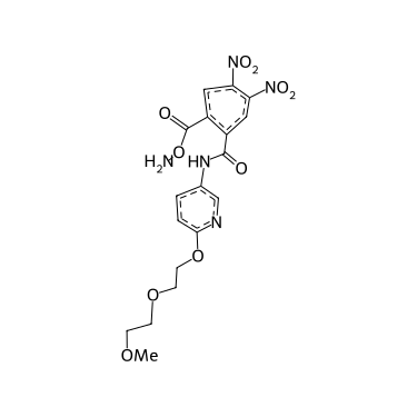 COCCOCCOc1ccc(NC(=O)c2cc([N+](=O)[O-])c([N+](=O)[O-])cc2C(=O)ON)cn1